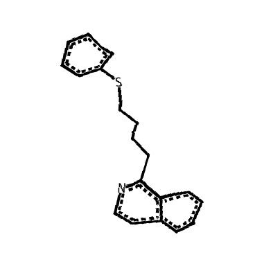 c1ccc(SCCCCc2nccc3ccccc23)cc1